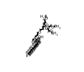 CCN(CC(O)COCCC[Si](OCCOC)(OCCOC)OCCOC)S(=O)(=O)C(F)(F)C(F)(F)C(F)(F)C(F)(F)C(F)(F)C(F)(F)C(F)(F)C(F)(F)F